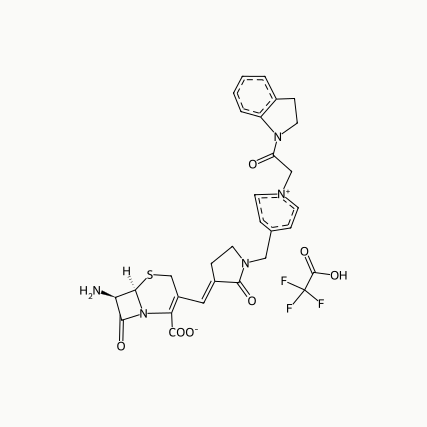 N[C@@H]1C(=O)N2C(C(=O)[O-])=C(/C=C3\CCN(Cc4cc[n+](CC(=O)N5CCc6ccccc65)cc4)C3=O)CS[C@H]12.O=C(O)C(F)(F)F